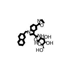 OC[C@H]1O[C@@H]2OC(c3cn(Cc4ccc5ccccc5c4)c4ccc(-c5ncco5)cc34)=N[C@@H]2[C@@H](O)[C@@H]1O